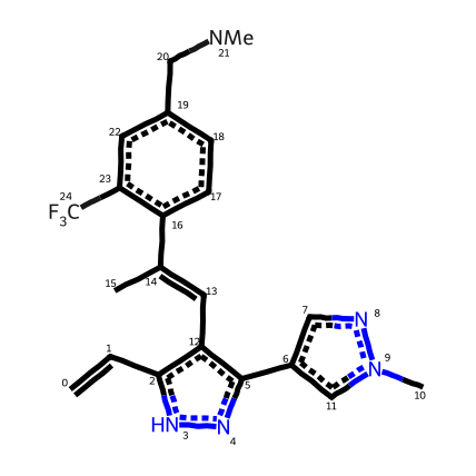 C=Cc1[nH]nc(-c2cnn(C)c2)c1/C=C(\C)c1ccc(CNC)cc1C(F)(F)F